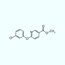 COC(=O)c1ccc(Oc2cccc(Cl)c2)nc1